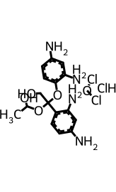 CC(O)OC(CO)(Oc1ccc(N)cc1N)c1ccc(N)cc1N.Cl.ClOCl